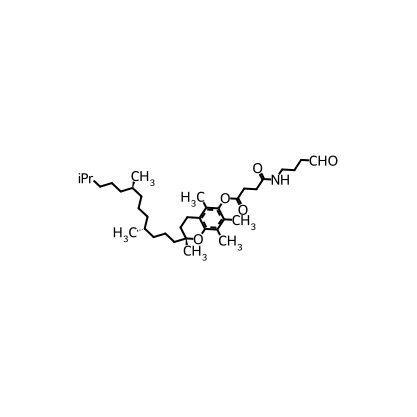 Cc1c(C)c2c(c(C)c1OC(=O)CCC(=O)NCCCC=O)CC[C@@](C)(CCC[C@H](C)CCC[C@H](C)CCCC(C)C)O2